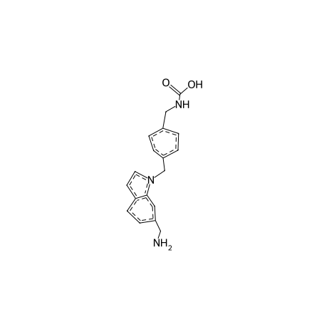 NCc1ccc2ccn(Cc3ccc(CNC(=O)O)cc3)c2c1